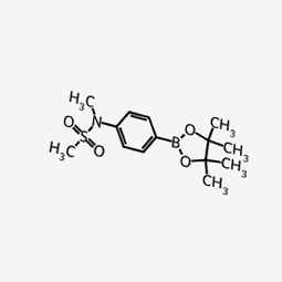 CN(c1ccc(B2OC(C)(C)C(C)(C)O2)cc1)S(C)(=O)=O